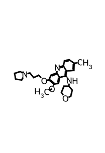 COc1cc2c(NC3CCOCC3)c3cc(C)ccc3nc2cc1OCCCN1CCCC1